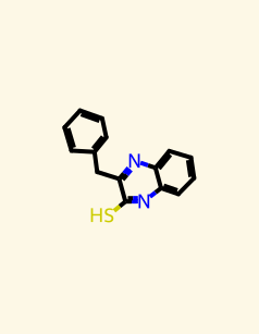 Sc1nc2ccccc2nc1Cc1ccccc1